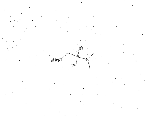 CCCCCCCC[Si](C(C)C)(C(C)C)N(C)C